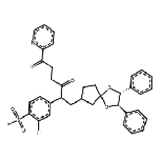 CS(=O)(=O)c1ccc(C(CC2CCC3(C2)O[C@H](c2ccccc2)[C@@H](c2ccccc2)O3)C(=O)CCC(=O)c2ccccn2)cc1Cl